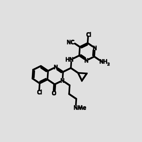 CNCCCn1c(C(Nc2nc(N)nc(Cl)c2C#N)C2CC2)nc2cccc(Cl)c2c1=O